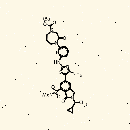 CNS(=O)(=O)c1cc(-c2sc(Nc3cccc(N4CCCN(C(=O)OC(C)(C)C)CC4=O)n3)nc2C)cc2c1C(=O)N(C(C)C1CC1)C2